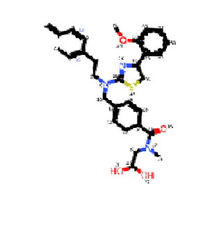 C=C/C=C\C(=C/C)CCN(CC1=CCC(C(=O)N(C)CC(O)O)C=C1)C1=NC(c2ccccc2OC)CS1